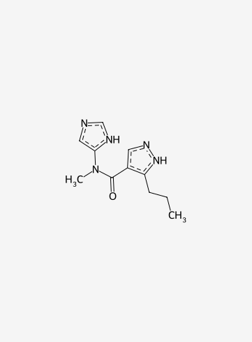 CCCc1[nH]ncc1C(=O)N(C)c1cnc[nH]1